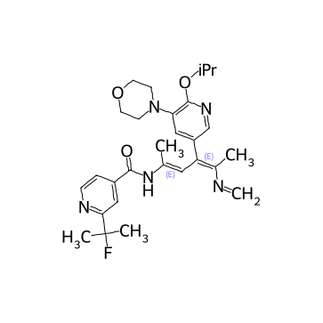 C=N/C(C)=C(\C=C(/C)NC(=O)c1ccnc(C(C)(C)F)c1)c1cnc(OC(C)C)c(N2CCOCC2)c1